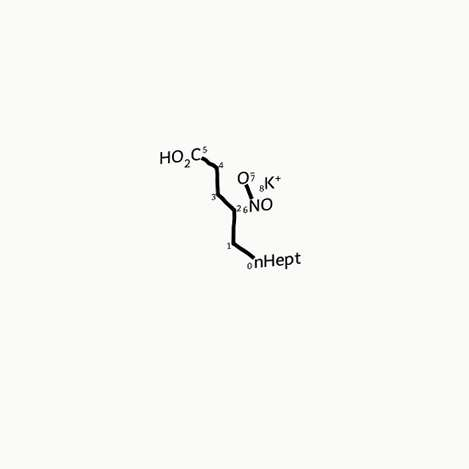 CCCCCCCCCCCC(=O)O.O=N[O-].[K+]